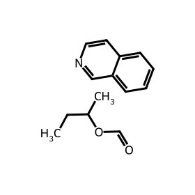 CCC(C)OC=O.c1ccc2cnccc2c1